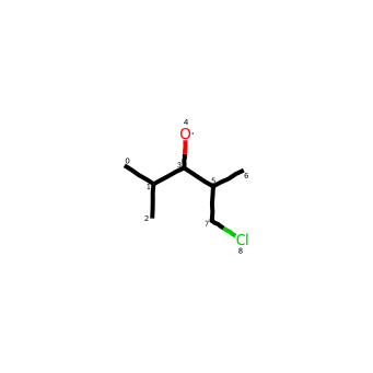 CC(C)C([O])C(C)CCl